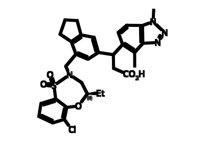 CC[C@@H]1CN(Cc2cc(C(CC(=O)O)c3ccc4c(nnn4C)c3C)cc3c2CCC3)S(=O)(=O)c2cccc(Cl)c2O1